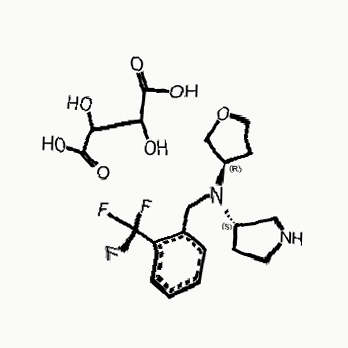 FC(F)(F)c1ccccc1CN([C@@H]1CCOC1)[C@H]1CCNC1.O=C(O)C(O)C(O)C(=O)O